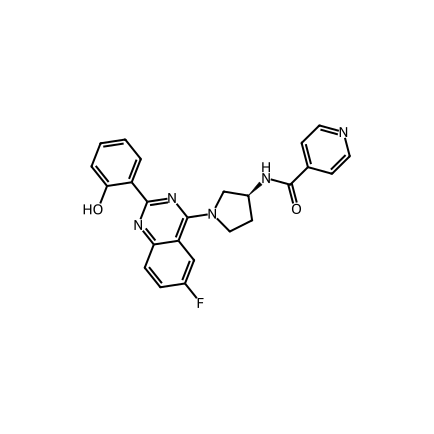 O=C(N[C@H]1CCN(c2nc(-c3ccccc3O)nc3ccc(F)cc23)C1)c1ccncc1